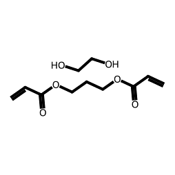 C=CC(=O)OCCCOC(=O)C=C.OCCO